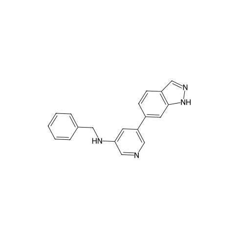 c1ccc(CNc2cncc(-c3ccc4cn[nH]c4c3)c2)cc1